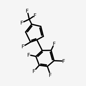 Fc1cc(C(F)(F)F)ccc1-c1c(F)c(F)c(F)c(F)c1F